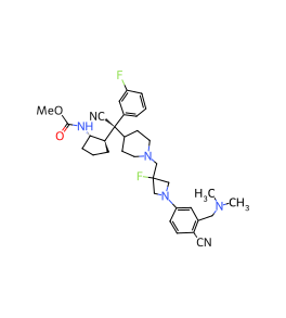 COC(=O)N[C@H]1CCC[C@@H]1[C@](C#N)(c1cccc(F)c1)C1CCN(CC2(F)CN(c3ccc(C#N)c(CN(C)C)c3)C2)CC1